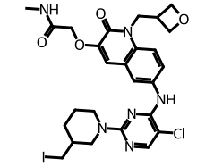 CNC(=O)COc1cc2cc(Nc3nc(N4CCCC(CI)C4)ncc3Cl)ccc2n(CC2COC2)c1=O